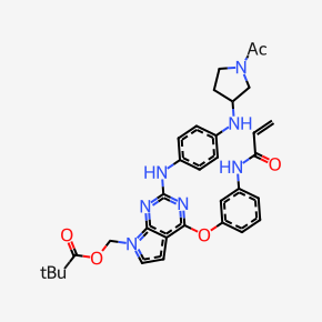 C=CC(=O)Nc1cccc(Oc2nc(Nc3ccc(NC4CCN(C(C)=O)C4)cc3)nc3c2ccn3COC(=O)C(C)(C)C)c1